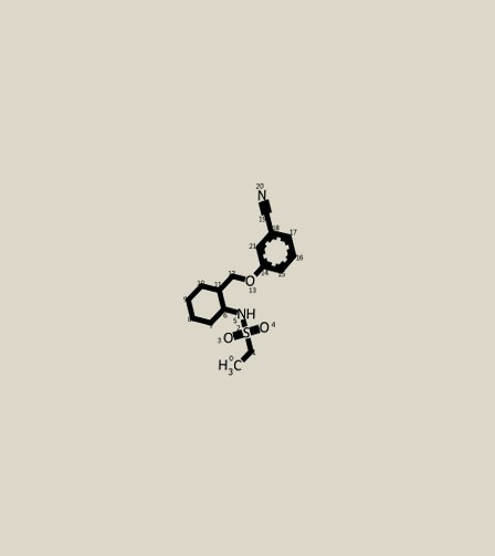 CCS(=O)(=O)NC1CCCCC1COc1cccc(C#N)c1